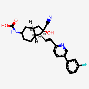 N#C[C@@]1(O)C[C@@H]2CC(NC(=O)O)CC[C@H]2[C@@H]1C=Cc1ccc(-c2cccc(F)c2)cn1